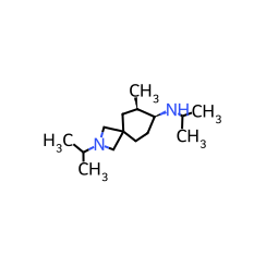 CC(C)N[C@H]1CCC2(C[C@H]1C)CN(C(C)C)C2